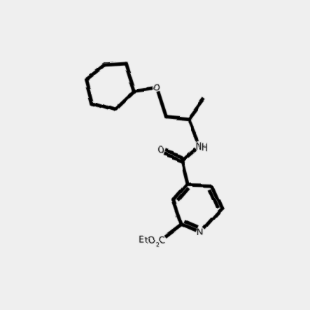 CCOC(=O)c1cc(C(=O)NC(C)COC2CCCCC2)ccn1